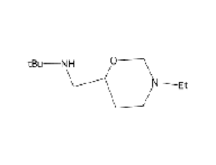 CCN1CCC(CNC(C)(C)C)OC1